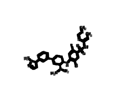 C=N/C=N\C(=C/C)NS(=O)(=O)c1cc(Cl)c(N[C@H]2CC[C@H](c3cccc(-c4ccnn4C)c3)C[C@@H]2N(C)C)cc1F